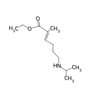 CCOC(=O)C(C)=CCCCNC(C)C